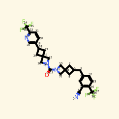 N#Cc1cc(CC2CC3(C2)CN(C(=O)N2CC4(CC(c5ccc(C(F)(F)F)nc5)C4)C2)C3)ccc1C(F)(F)F